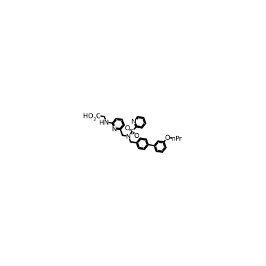 CCCOc1cccc(-c2ccc(CN(Cc3cccc(NCC(=O)O)n3)S(=O)(=O)c3ccccn3)cc2)c1